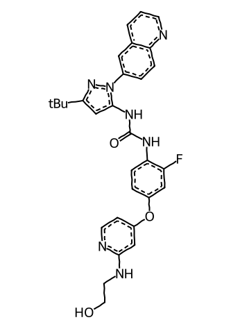 CC(C)(C)c1cc(NC(=O)Nc2ccc(Oc3ccnc(NCCO)c3)cc2F)n(-c2ccc3ncccc3c2)n1